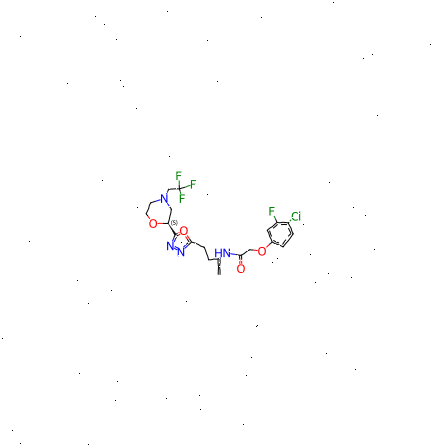 C=C(CCc1nnc([C@@H]2CN(CC(F)(F)F)CCO2)o1)NC(=O)COc1ccc(Cl)c(F)c1